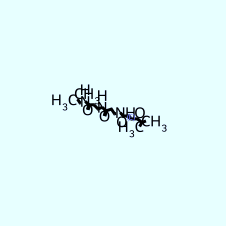 CC(C)CNC(=O)CCNC(=O)CCNC(=O)/C=C/C(=O)C(C)C